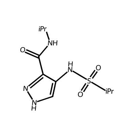 CC(C)NC(=O)c1n[nH]cc1NS(=O)(=O)C(C)C